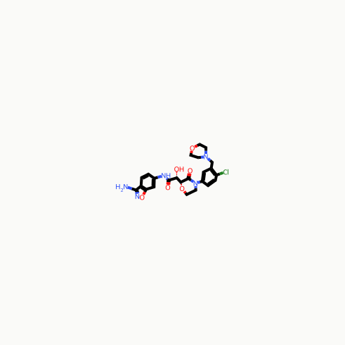 Nc1noc2cc(NC(=O)[C@H](O)[C@H]3OCCN(c4ccc(Cl)c(CN5CCOCC5)c4)C3=O)ccc12